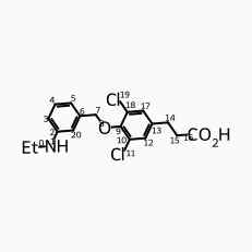 CCNc1cccc(COc2c(Cl)cc(CCC(=O)O)cc2Cl)c1